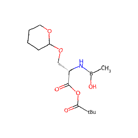 CB(O)N[C@@H](COC1CCCCO1)C(=O)OC(=O)C(C)(C)C